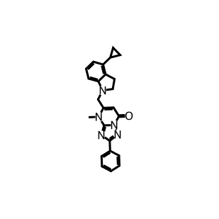 Cn1c(CN2CCc3c(C4CC4)cccc32)cc(=O)n2nc(-c3ccccc3)nc12